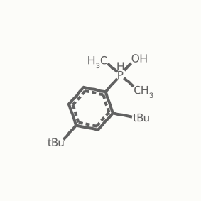 CC(C)(C)c1ccc([PH](C)(C)O)c(C(C)(C)C)c1